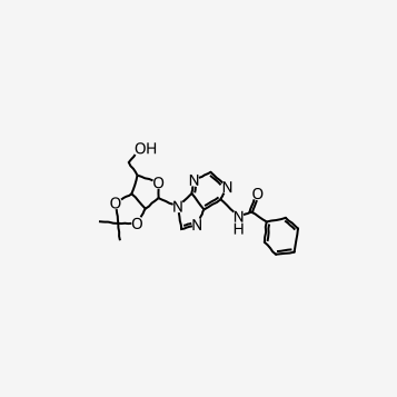 CC1(C)OC2C(CO)OC(n3cnc4c(NC(=O)c5ccccc5)ncnc43)C2O1